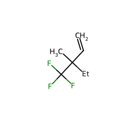 C=CC(C)(CC)C(F)(F)F